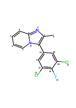 Cc1nc2ccccn2c1-c1cc(Cl)c(F)c(Cl)c1